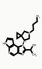 CC(O)c1nc2cnc3[nH]ccc3c2n1[C@@H]1CN(CCCC(F)(F)F)CC12CC2